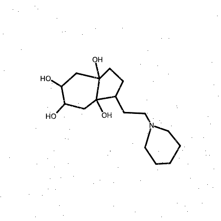 OC1CC2(O)CCC(CCN3CCCCC3)C2(O)CC1O